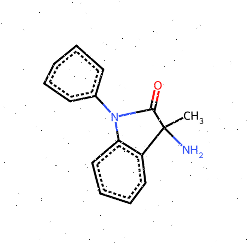 CC1(N)C(=O)N(c2ccccc2)c2ccccc21